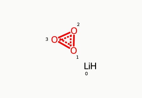 [LiH].o1oo1